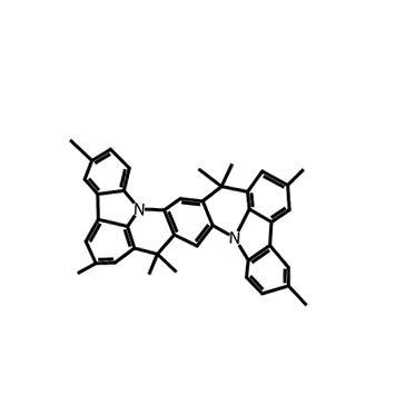 Cc1ccc2c(c1)c1cc(C)cc3c1n2-c1cc2c(cc1C3(C)C)-n1c3ccc(C)cc3c3cc(C)cc(c31)C2(C)C